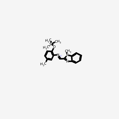 Cc1ccc(O[Si](C)(C)C)c(/N=C/c2nc3ccccc3n2C)c1